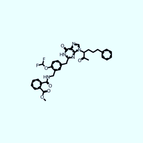 COC(=O)c1ccccc1C(=O)NCc1cc(Cc2nc3c(ncn3C(CCCc3ccccc3)C(C)=O)c(=O)[nH]2)ccc1OC(F)F